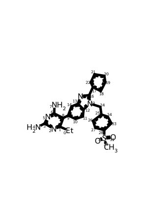 CCc1nc(N)nc(N)c1-c1ccc2c(c1)nc(-c1ccccc1)n2Cc1ccc(S(C)(=O)=O)cc1